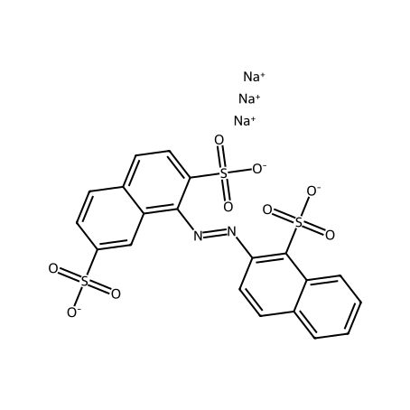 O=S(=O)([O-])c1ccc2ccc(S(=O)(=O)[O-])c(N=Nc3ccc4ccccc4c3S(=O)(=O)[O-])c2c1.[Na+].[Na+].[Na+]